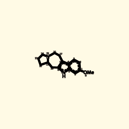 COc1ccc2c3c([nH]c2c1)CC1CCCN1CC3